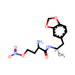 C[C@@H](Cc1ccc2c(c1)OCO2)NC(=O)C(N)CCO[N+](=O)[O-]